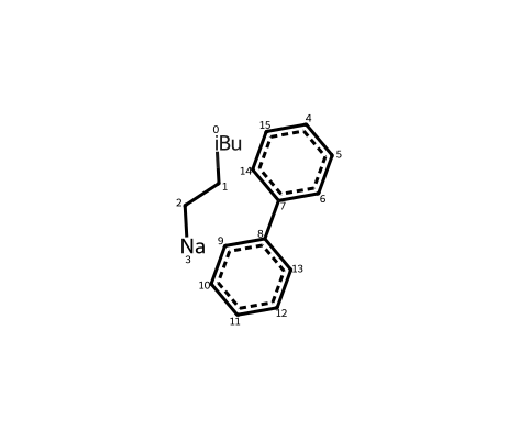 CCC(C)C[CH2][Na].c1ccc(-c2ccccc2)cc1